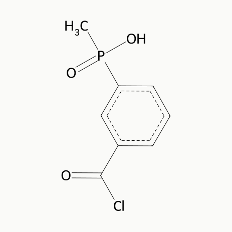 CP(=O)(O)c1cccc(C(=O)Cl)c1